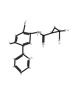 Cc1cc(F)c(NC(=O)C2CC2(F)F)cc1-c1ccccn1